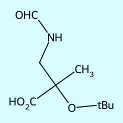 CC(C)(C)OC(C)(CNC=O)C(=O)O